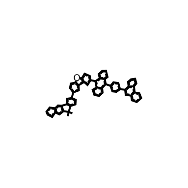 CC1(C)c2ccc(-c3ccc4oc5ccc(-c6c7ccccc7c(-c7ccc(-c8cc9ccccc9c9ccccc89)cc7)c7ccccc67)cc5c4c3)cc2-c2cc3ccccc3cc21